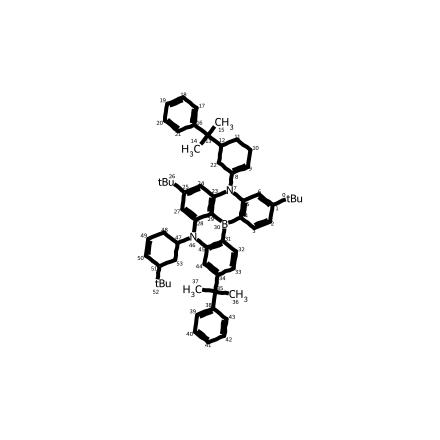 CC(C)(C)c1ccc2c(c1)N(C1=CCCC(C(C)(C)c3ccccc3)C1)c1cc(C(C)(C)C)cc3c1B2c1ccc(C(C)(C)c2ccccc2)cc1N3C1CC=CC(C(C)(C)C)C1